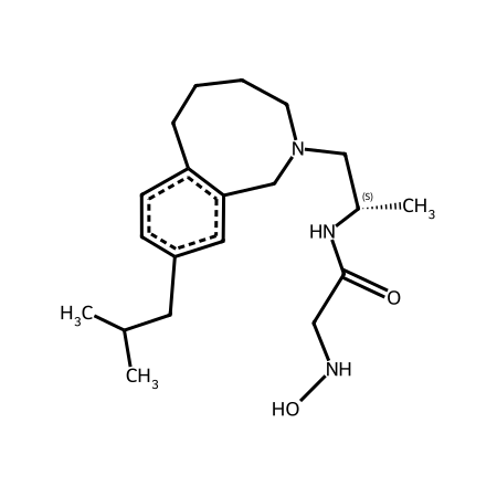 CC(C)Cc1ccc2c(c1)CN(C[C@H](C)NC(=O)CNO)CCCC2